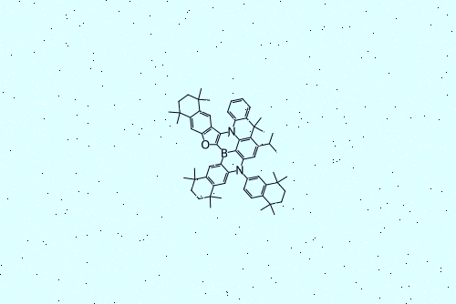 CC(C)c1cc2c3c4c1C(C)(C)c1ccccc1N4c1c(oc4cc5c(cc14)C(C)(C)CCC5(C)C)B3c1cc3c(cc1N2c1ccc2c(c1)C(C)(C)CCC2(C)C)C(C)(C)CCC3(C)C